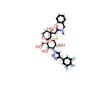 CN(Cc1ccccc1)C(=O)[C@H](S[C@@H]1O[C@H](CO)[C@H](O)[C@H](n2cc(-c3cc(F)c(F)c(F)c3)nn2)[C@H]1O)C1(O)CCOCC1